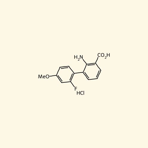 COc1ccc(-c2cccc(C(=O)O)c2N)c(F)c1.Cl